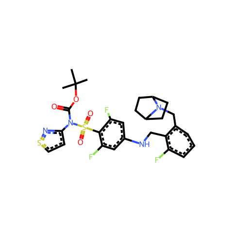 CC(C)(C)OC(=O)N(c1ccsn1)S(=O)(=O)c1c(F)cc(NCc2c(F)cccc2CN2C3CCC2CC3)cc1F